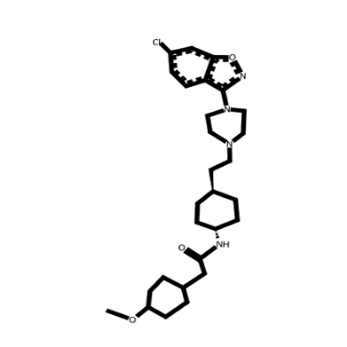 COC1CCC(CC(=O)N[C@H]2CC[C@H](CCN3CCN(c4noc5cc(Cl)ccc45)CC3)CC2)CC1